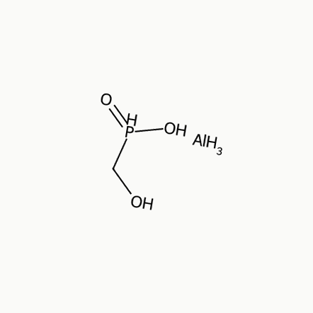 O=[PH](O)CO.[AlH3]